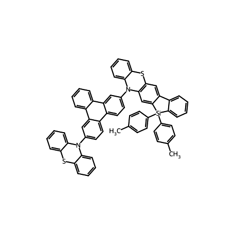 Cc1ccc([Si]2(c3ccc(C)cc3)c3ccccc3-c3cc4c(cc32)N(c2ccc3c5ccc(N6c7ccccc7Sc7ccccc76)cc5c5ccccc5c3c2)c2ccccc2S4)cc1